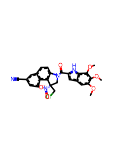 COc1cc2cc(C(=O)N3CC(CCl)([N+](=O)[O-])c4c3ccc3cc(C#N)ccc43)[nH]c2c(OC)c1OC